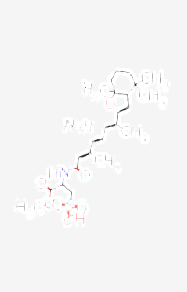 COC(=O)C(CS(=O)(=O)O)NC(=O)/C=C(C)/C=C/C=C(\C)C1=CC2C(C)(C)CCCC2(C)O1.[NaH]